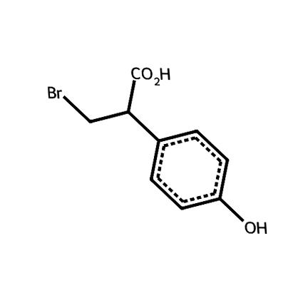 O=C(O)C(CBr)c1ccc(O)cc1